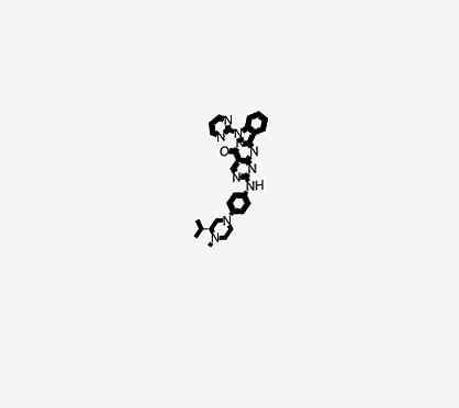 CC(C)[C@@H]1CN(c2ccc(Nc3ncc4c(=O)n5c(nc4n3)c3ccccc3n5-c3ncccn3)cc2)CCN1C